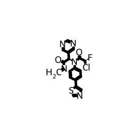 C=NC(=O)[C@@H](c1cncnc1)N(C(=O)[C@H](F)Cl)c1ccc(-c2cncs2)cc1